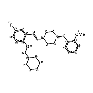 COc1ncccc1CN1CCC(C=Cc2cc(F)ccc2OCC2CCCCC2)CC1